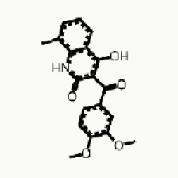 COc1ccc(C(=O)c2c(O)c3cccc(C)c3[nH]c2=O)cc1OC